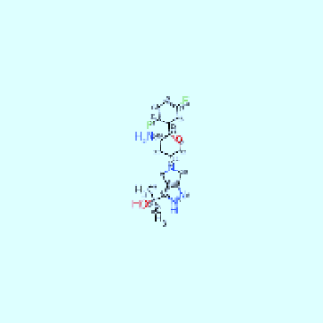 CC(C)(O)c1[nH]nc2c1CN([C@H]1CO[C@H](C3CC(F)=CC=C3F)[C@@H](N)C1)C2